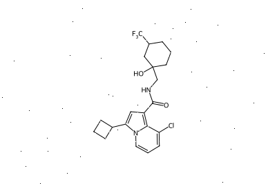 O=C(NCC1(O)CCCC(C(F)(F)F)C1)c1cc(C2CCC2)n2cccc(Cl)c12